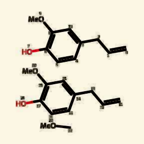 C=CCc1ccc(O)c(OC)c1.C=CCc1ccc(O)c(OC)c1.COC